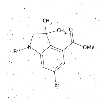 COC(=O)c1cc(Br)cc2c1C(C)(C)CN2C(C)C